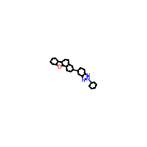 c1ccc(-n2nc3ccc(-c4ccc5c(ccc6c7ccccc7oc56)c4)cc3n2)cc1